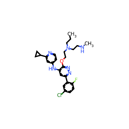 CCCN(CCNC)CCOc1nnc(-c2cc(Cl)ccc2F)cc1Nc1ccnc(C2CC2)c1